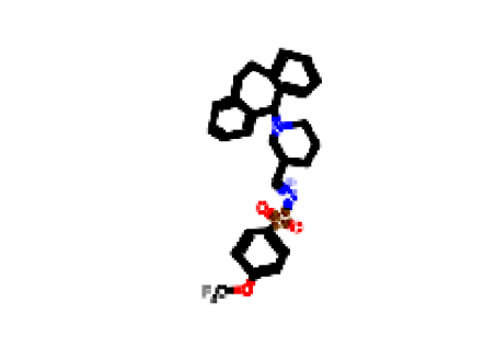 O=S(=O)(/N=C/C1CCCN(C2c3ccccc3CCc3ccccc32)C1)c1ccc(OC(F)(F)F)cc1